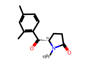 CCCN1C(=O)CC[C@H]1C(=O)c1ccc(C)cc1C